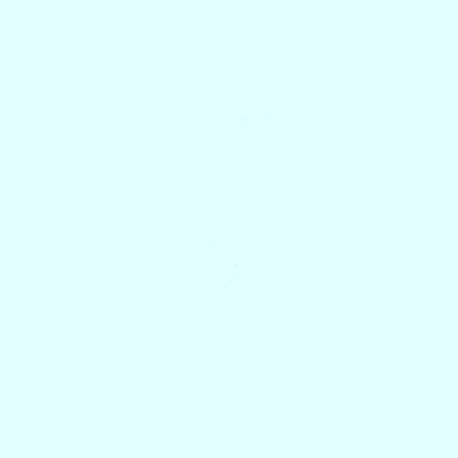 CCCCCCCCCCSc1ccc(-c2cccc(-c3cc[c]cc3)c2OC(=O)c2ccccc2)cc1